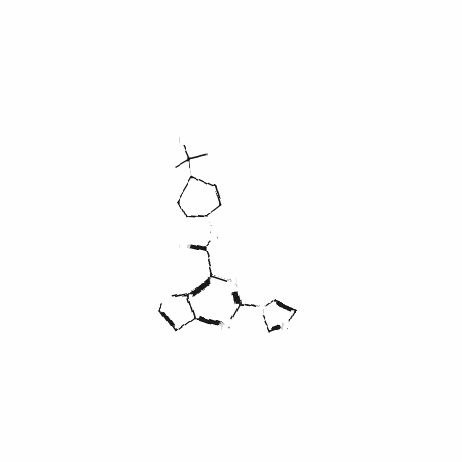 O=C(N[C@H]1CC[C@H](C(F)(F)F)CC1)c1nc(-n2ccnc2)nc2ccsc12